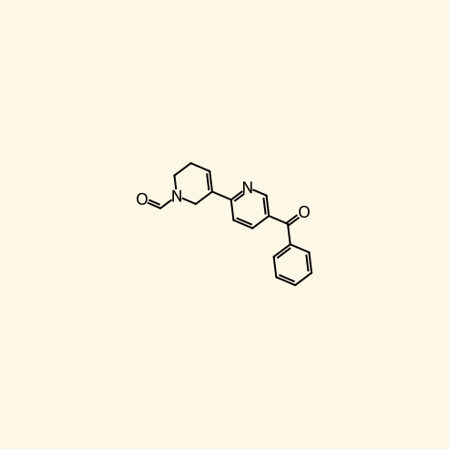 O=CN1CCC=C(c2ccc(C(=O)c3ccccc3)cn2)C1